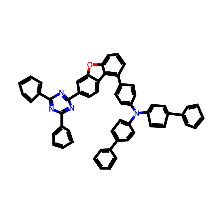 c1ccc(-c2ccc(N(c3ccc(-c4ccccc4)cc3)c3ccc(-c4cccc5oc6cc(-c7nc(-c8ccccc8)nc(-c8ccccc8)n7)ccc6c45)cc3)cc2)cc1